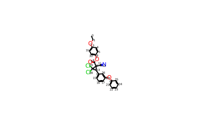 CCOc1ccc(OC(=O)C2(C#N)C(c3cccc(Oc4ccccc4)c3)C2(Cl)Cl)cc1